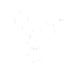 Cc1cccc(C)c1OP(=O)(Oc1ccc(C(C)(C)C)cc1)Oc1c(C)cccc1C